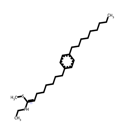 CCCCCCCCCc1ccc(CCCCCC/C=C(/PCC)SC)cc1